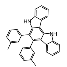 Cc1cccc(-c2c(-c3cccc(C)c3)c3c4ccccc4[nH]c3c3c2[nH]c2ccccc23)c1